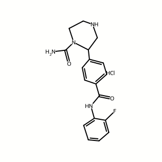 Cl.NC(=O)N1CCNCC1c1ccc(C(=O)Nc2ccccc2F)cc1